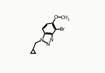 COc1ccc2c(nnn2CC2CC2)c1Br